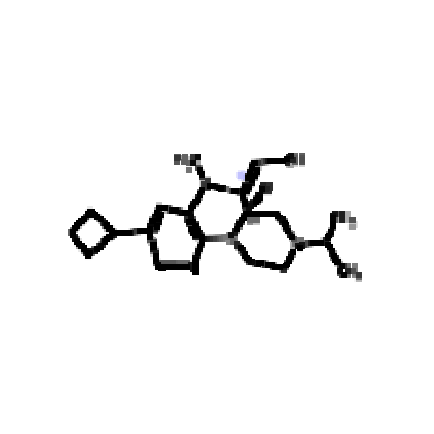 CC(C)N1CCN2c3ncc(C4CCC4)cc3N(C)/C(=C/O)[C@@H]2C1